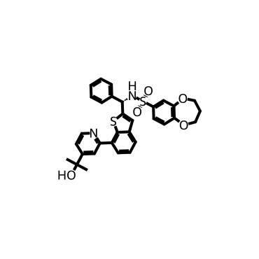 CC(C)(O)c1ccnc(-c2cccc3cc([C@@H](NS(=O)(=O)c4ccc5c(c4)OCCCO5)c4ccccc4)sc23)c1